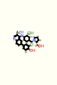 CC(=O)c1cnc2ccc(-c3cc(F)c(O)c(Cl)c3)cc2c1NC1CCC(CN2CCC[C@@H]2CO)CC1.Cl